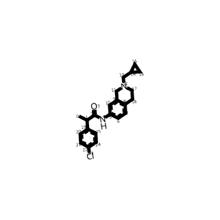 CC(C(=O)Nc1ccc2c(c1)CN(CC1CC1)CC2)c1ccc(Cl)cc1